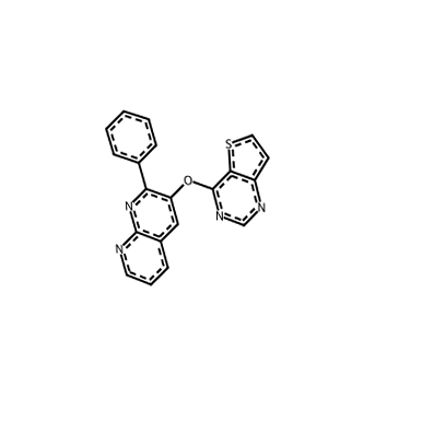 c1ccc(-c2nc3ncccc3cc2Oc2ncnc3ccsc23)cc1